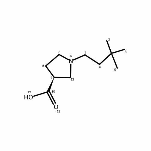 CC(C)(C)CCN1CC[C@H](C(=O)O)C1